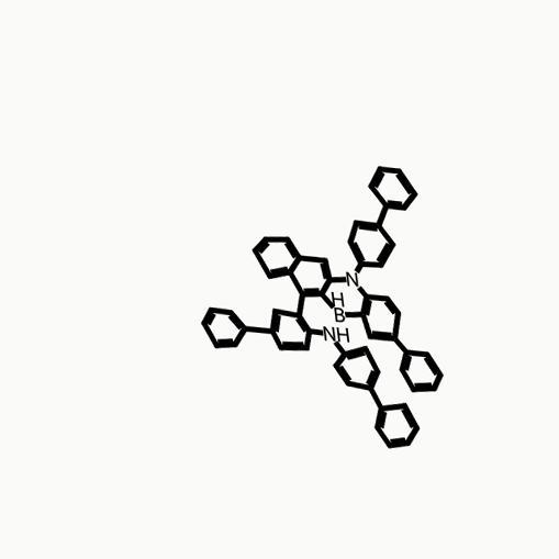 B1c2cc(-c3ccccc3)ccc2N(c2ccc(-c3ccccc3)cc2)c2cc3ccccc3c(-c3cc(-c4ccccc4)ccc3Nc3ccc(-c4ccccc4)cc3)c21